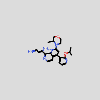 CC(C)Oc1ncccc1-c1cc(N2CCOCC2C)nc2c(/C(N)=C/C=N)nccc12